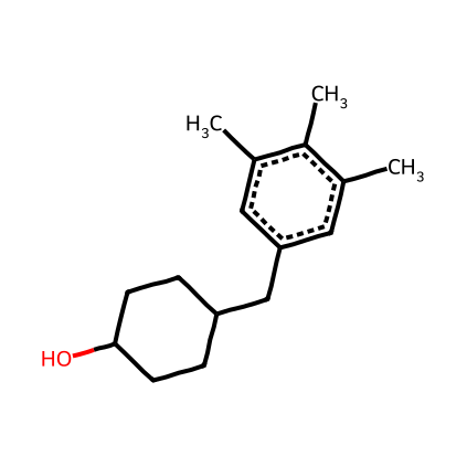 Cc1cc(CC2CCC(O)CC2)cc(C)c1C